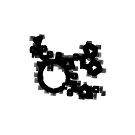 Cc1cc(C(=O)N[C@H]2CCCCC/C=C\C3CC3(C(=O)NS(=O)(=O)C3CC3)NC(=O)[C@@H]3C[C@@H](Oc4nc5ccccc5c5ccccc45)CN3C2=O)n[nH]1